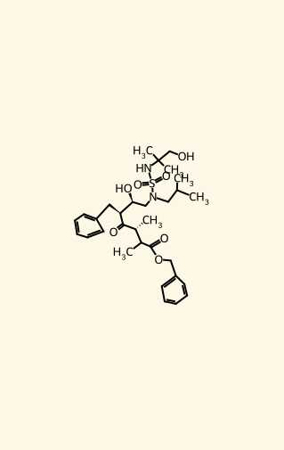 CC(C)CN(C[C@H](O)[C@H](Cc1ccccc1)C(=O)[C@H](C)C(C)C(=O)OCc1ccccc1)S(=O)(=O)NC(C)(C)CO